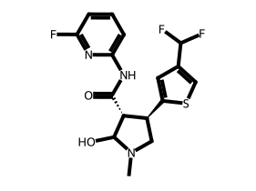 CN1C[C@H](c2cc(C(F)F)cs2)[C@@H](C(=O)Nc2cccc(F)n2)C1O